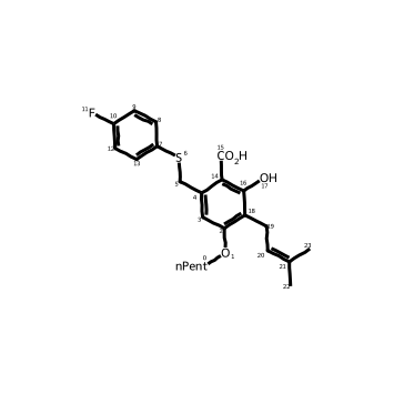 CCCCCOc1cc(CSc2ccc(F)cc2)c(C(=O)O)c(O)c1CC=C(C)C